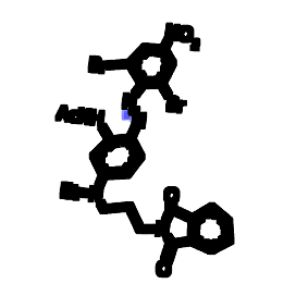 CCN(CCCN1C(=O)c2ccccc2C1=O)c1ccc(/N=N/c2c(Br)cc([N+](=O)[O-])cc2Br)c(NC(C)=O)c1